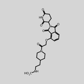 O=C(O)NCCC1CCN(C(=O)COc2cccc3c2C(=O)N(C2CCC(=O)NC2=O)C3=O)CC1